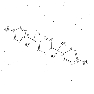 CC(C)(C1=CCC(C(C)(C)C2C=CC(N)=CC2)C=C1)c1ccc(N)cc1